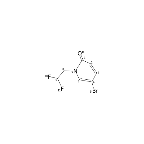 O=c1ccc(Br)cn1CC(F)F